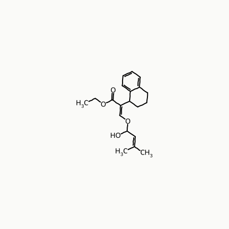 CCOC(=O)/C(=C/OC(O)C=C(C)C)C1CCCc2ccccc21